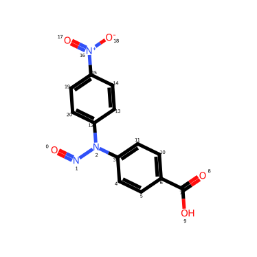 O=NN(c1ccc(C(=O)O)cc1)c1ccc([N+](=O)[O-])cc1